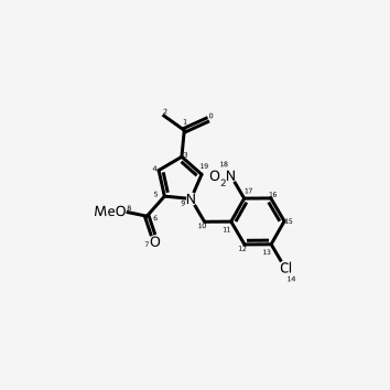 C=C(C)c1cc(C(=O)OC)n(Cc2cc(Cl)ccc2[N+](=O)[O-])c1